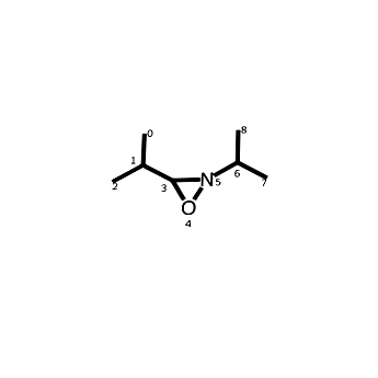 CC(C)C1ON1C(C)C